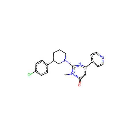 Cn1c(N2CCCC(c3ccc(Cl)cc3)C2)nc(-c2ccncc2)cc1=O